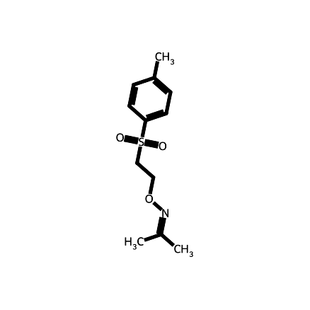 CC(C)=NOCCS(=O)(=O)c1ccc(C)cc1